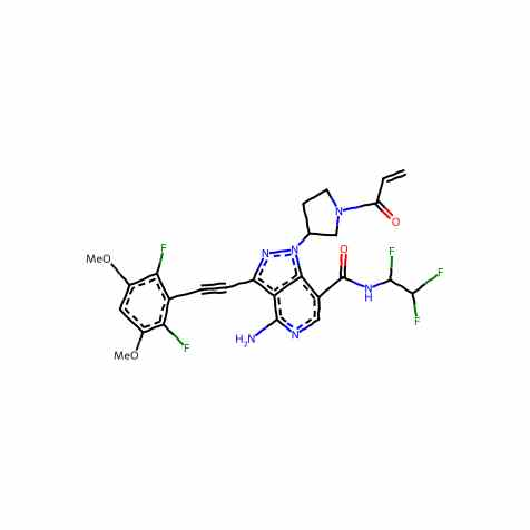 C=CC(=O)N1CCC(n2nc(C#Cc3c(F)c(OC)cc(OC)c3F)c3c(N)ncc(C(=O)NC(F)C(F)F)c32)C1